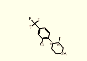 C[C@H]1CNCC[C@H]1c1ccc(C(F)(F)F)cc1Cl